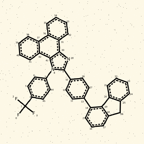 FC(F)(F)c1ccc(-n2c(-c3ccc(-c4cccc5c4-c4ccccc4C5)cc3)nc3c4ccccc4c4ccccc4c32)cc1